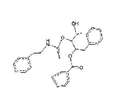 CC(O)C(OC(=S)NCCc1ccccc1)C(Cc1ccccc1)OC(=O)c1ccccc1